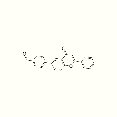 O=Cc1ccc(-c2ccc3oc(-c4ccccc4)cc(=O)c3c2)cc1